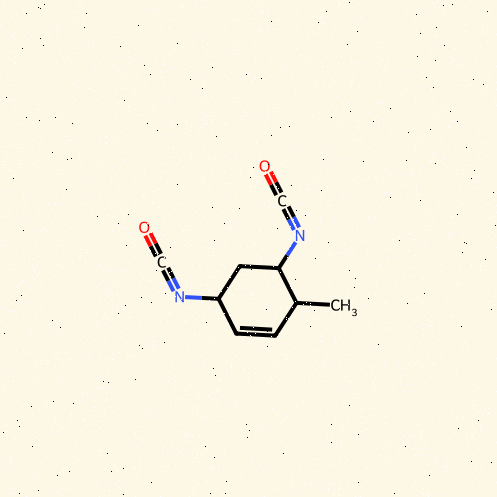 CC1C=CC(N=C=O)CC1N=C=O